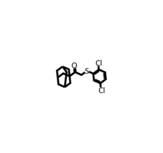 O=C(CSc1cc(Cl)ccc1Cl)C12CC3CC(CC(C3)C1)C2